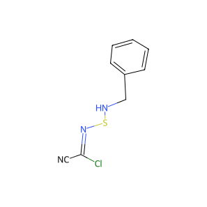 N#CC(Cl)=NSNCc1ccccc1